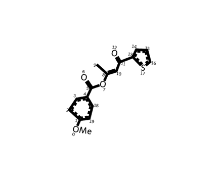 COc1ccc(C(=O)O/C(C)=C/C(=O)c2cccs2)cc1